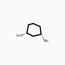 CC(=O)O[C@@H]1CCC[C@H](C(C)(C)C)C1